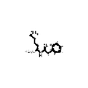 NCCCCC(NC(=O)Cc1ccccc1)C(=O)O